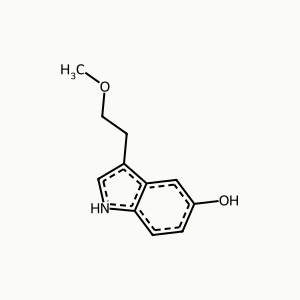 COCCc1c[nH]c2ccc(O)cc12